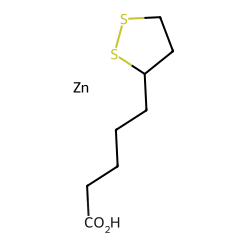 O=C(O)CCCCC1CCSS1.[Zn]